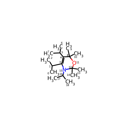 CC(C)C1=C(C(C)C)C(C)(C)OC(C)(C)N1C(C)C